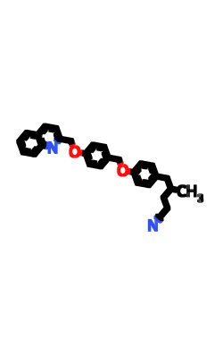 CC(CCC#N)Cc1ccc(OCc2ccc(OCc3ccc4ccccc4n3)cc2)cc1